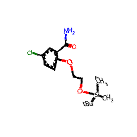 CC(C)(C)[Si](C)(C)OCCOc1ccc(Cl)cc1C(N)=O